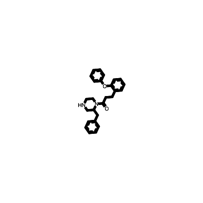 O=C(CCc1ccccc1Oc1ccccc1)N1CCNCC1Cc1ccccc1